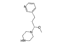 COC([CH]Cc1cccnc1)N1CCNCC1